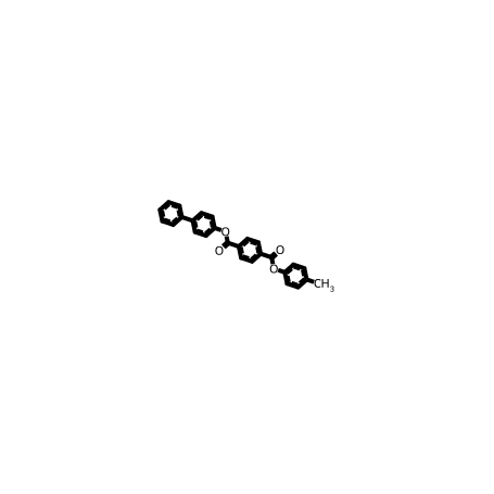 Cc1ccc(OC(=O)c2ccc(C(=O)Oc3ccc(-c4ccccc4)cc3)cc2)cc1